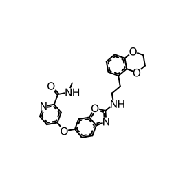 CNC(=O)c1cc(Oc2ccc3nc(NCCc4cccc5c4OCCO5)oc3c2)ccn1